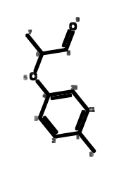 Cc1ccc(OC(C)C=O)cc1